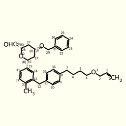 C=CCOCCCCc1ccc(Cc2cc([C@H]3C[C@@H](OCc4ccccc4)C[C@@H](C=O)O3)ccc2C)cc1